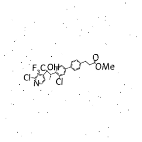 COC(=O)CCc1ccc(-c2ccc(C(C)C(O)(c3ccnc(Cl)c3)C(F)(F)F)c(Cl)c2)cc1